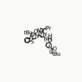 CC(C)c1cnn2c(N(Cc3nc4ccccc4s3)C(=O)OC(C)(C)C)cc(NC[C@H]3CCN(C(=O)OC(C)(C)C)C[C@@H]3O)nc12